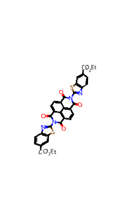 CCOC(=O)c1ccc2nc(N3C(=O)c4ccc5c6c(ccc(c46)C3=O)C(=O)N(c3nc4ccc(C(=O)OCC)cc4s3)C5=O)sc2c1